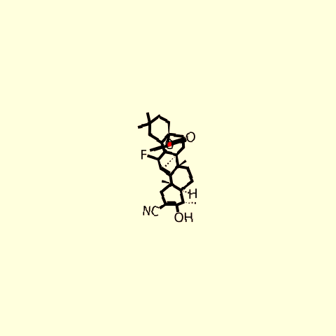 C[C@@H]1C(O)=C(C#N)C[C@]2(C)C3=CC(F)[C@]45OC(=O)[C@@]6(CCC(C)(C)CC64)CC[C@@]5(C)[C@]3(C)CC[C@@H]12